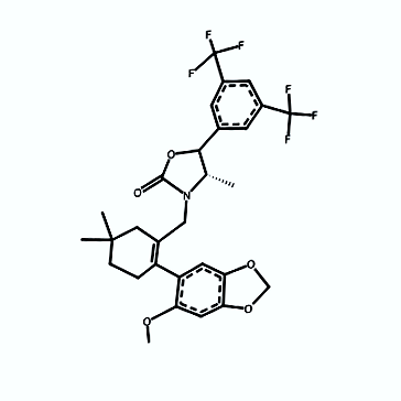 COc1cc2c(cc1C1=C(CN3C(=O)OC(c4cc(C(F)(F)F)cc(C(F)(F)F)c4)[C@@H]3C)CC(C)(C)CC1)OCO2